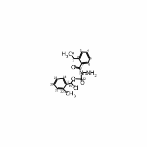 CCc1ccccc1C(=O)N(N)C(=O)OC(Cl)c1ccccc1C